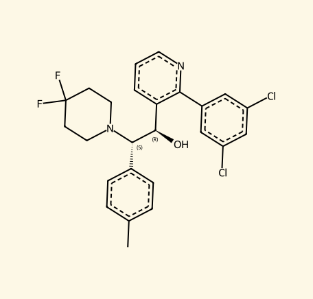 Cc1ccc([C@@H]([C@H](O)c2cccnc2-c2cc(Cl)cc(Cl)c2)N2CCC(F)(F)CC2)cc1